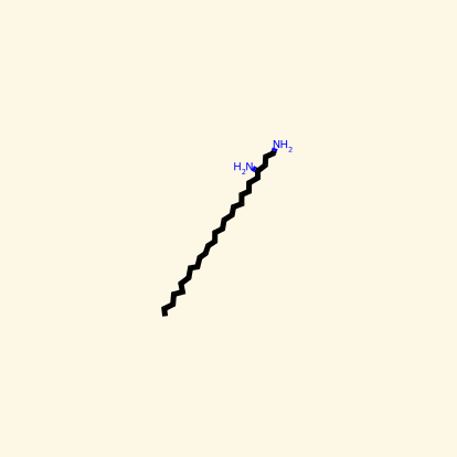 CCCCCCCCCCCCCCCCCCCCCCCC(N)CCCN